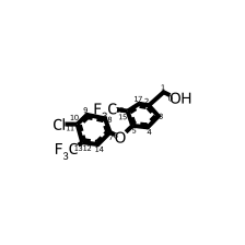 OCc1ccc(Oc2ccc(Cl)c(C(F)(F)F)c2)c(C(F)(F)F)c1